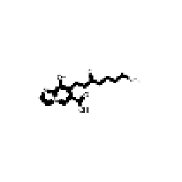 CCCCCC(=O)CCc1c(C(=O)O)cn2ccnc2c1O